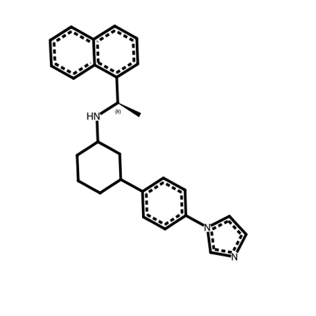 C[C@@H](NC1CCCC(c2ccc(-n3ccnc3)cc2)C1)c1cccc2ccccc12